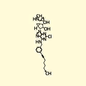 C#CCCCCC#Cc1cccc(CNc2nc(Cl)nc3c2ncn3[C@H]2[C@H](O)[C@H](O)[C@]3(C(=O)NC)C[C@H]23)c1